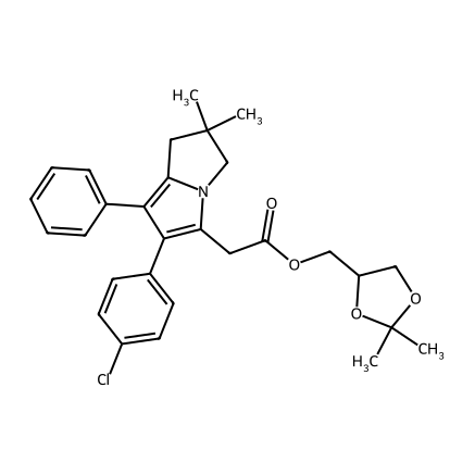 CC1(C)Cc2c(-c3ccccc3)c(-c3ccc(Cl)cc3)c(CC(=O)OCC3COC(C)(C)O3)n2C1